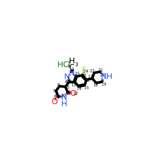 Cl.Cn1nc(C2CCC(=O)NC2=O)c2ccc(C3CCNCC3)c(F)c21